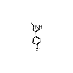 Cc1cc(-c2ccc(Br)cc2)c[nH]1